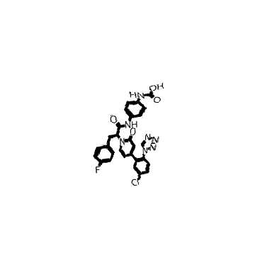 O=C(O)Nc1ccc(NC(=O)C(Cc2ccc(F)cc2)n2ccc(-c3cc(Cl)ccc3-n3cnnn3)cc2=O)cc1